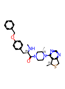 CN[C@H](Cc1ccc(OCc2ccccc2)cc1)C(=O)N1CCN(c2ncnc3c2[C@H](C)SC3)[C@@H](C)C1